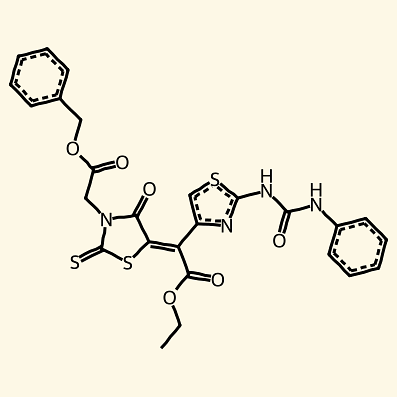 CCOC(=O)/C(=C1\SC(=S)N(CC(=O)OCc2ccccc2)C1=O)c1csc(NC(=O)Nc2ccccc2)n1